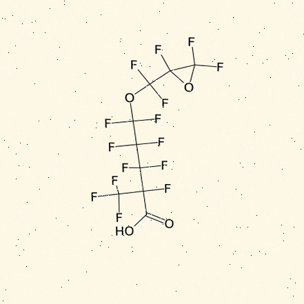 O=C(O)C(F)(C(F)(F)F)C(F)(F)C(F)(F)C(F)(F)OC(F)(F)C1(F)OC1(F)F